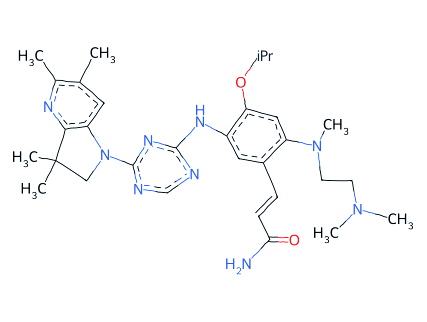 Cc1cc2c(nc1C)C(C)(C)CN2c1ncnc(Nc2cc(C=CC(N)=O)c(N(C)CCN(C)C)cc2OC(C)C)n1